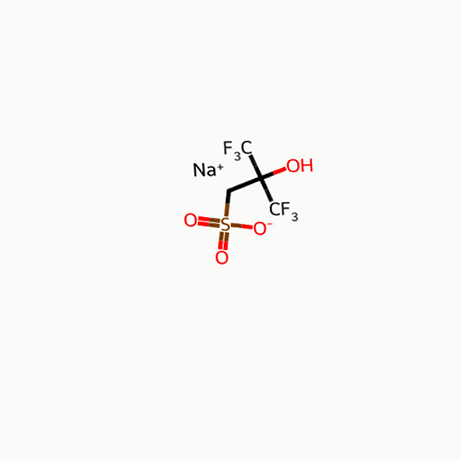 O=S(=O)([O-])CC(O)(C(F)(F)F)C(F)(F)F.[Na+]